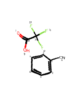 N#Cc1ccccc1.O=C(O)C(F)(F)F